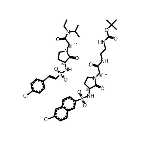 CCN(C(=O)[C@H](C)N1CC[C@H](NS(=O)(=O)C=Cc2ccc(Cl)cc2)C1=O)C(C)C.C[C@@H](C(=O)NCCNC(=O)OC(C)(C)C)N1CC[C@H](NS(=O)(=O)c2ccc3cc(Cl)ccc3c2)C1=O